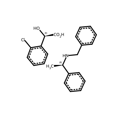 C[C@@H](NCc1ccccc1)c1ccccc1.O=C(O)[C@H](O)c1ccccc1Cl